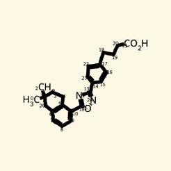 CC1(C)CCc2c(cccc2-c2nc(-c3ccc(CCCC(=O)O)cc3)no2)C1